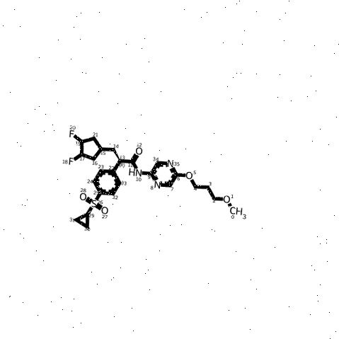 COCCCOc1cnc(NC(=O)[C@H](CC2CC(F)C(F)C2)c2ccc(S(=O)(=O)C3CC3)cc2)cn1